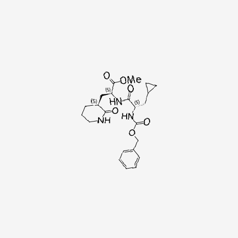 COC(=O)[C@H](C[C@@H]1CCCNC1=O)NC(=O)[C@H](CC1CC1)NC(=O)OCc1ccccc1